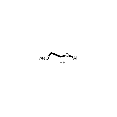 COCC[O][Al].[HH]